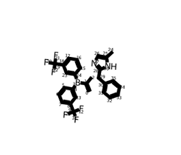 C=C(C)B(c1cccc(C(F)(F)F)c1)c1cccc(C(F)(F)F)c1.Cc1cnc(Cc2ccccc2)[nH]1